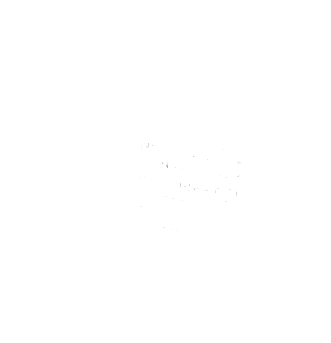 CCCN(CCc1cccs1)c1cccc2c1C(NC(=O)OCC)CCC2